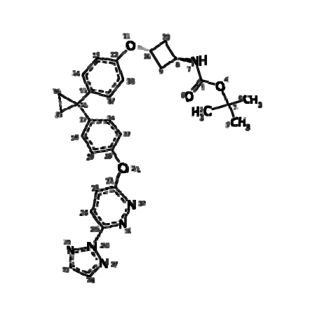 CC(C)(C)OC(=O)N[C@H]1C[C@H](Oc2ccc(C3(c4ccc(Oc5ccc(-n6nccn6)nn5)cc4)CC3)cc2)C1